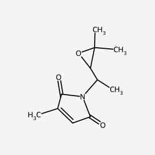 CC1=CC(=O)N(C(C)C2OC2(C)C)C1=O